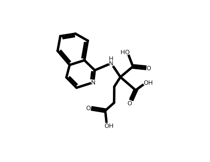 O=C(O)CCC(Nc1nccc2ccccc12)(C(=O)O)C(=O)O